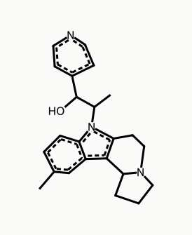 Cc1ccc2c(c1)c1c(n2C(C)C(O)c2ccncc2)CCN2CCCC12